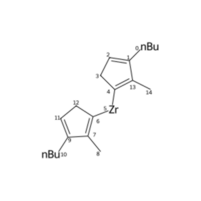 CCCCC1=CC[C]([Zr][C]2=C(C)C(CCCC)=CC2)=C1C